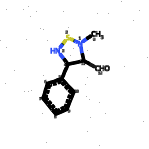 CN1SNC(c2ccccc2)C1C=O